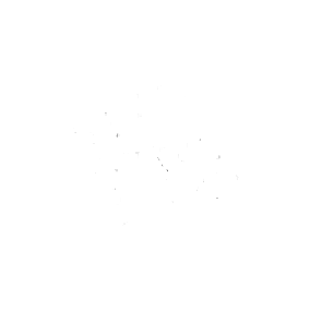 CCN(C(=O)OC(C)(C)C)[C@@H]1c2ccccc2[C@@H](OC(C)=O)[C@H]1OCOC